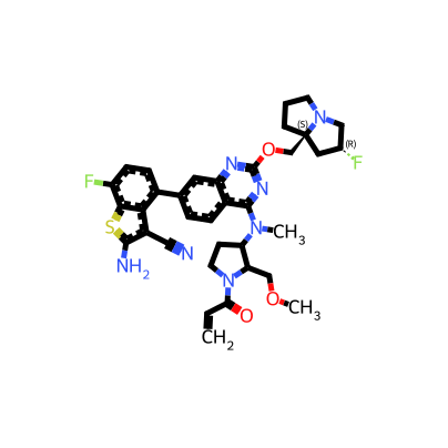 C=CC(=O)N1CCC(N(C)c2nc(OC[C@@]34CCCN3C[C@H](F)C4)nc3cc(-c4ccc(F)c5sc(N)c(C#N)c45)ccc23)C1COC